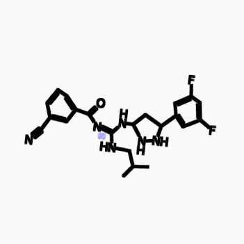 CC(C)CN/C(=N/C(=O)c1cccc(C#N)c1)NC1CC(c2cc(F)cc(F)c2)NN1